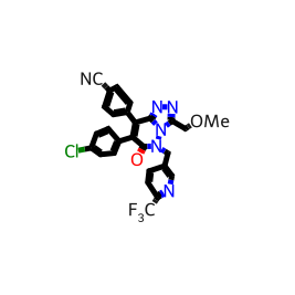 COCc1nnc2c(-c3ccc(C#N)cc3)c(-c3ccc(Cl)cc3)c(=O)n(Cc3ccc(C(F)(F)F)nc3)n12